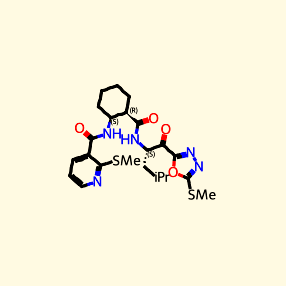 CSc1nnc(C(=O)[C@H](CC(C)C)NC(=O)[C@@H]2CCCC[C@@H]2NC(=O)c2cccnc2SC)o1